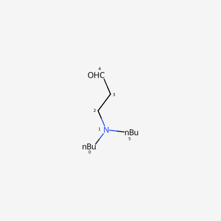 CCCCN(CCC=O)CCCC